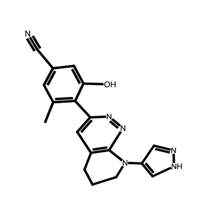 Cc1cc(C#N)cc(O)c1-c1cc2c(nn1)N(c1cn[nH]c1)CCC2